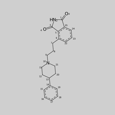 O=C1NC(=O)c2c(CCCN3CCC(c4ccccc4)CC3)cccc21